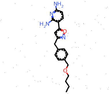 CCCCOCc1ccc(Cc2cc(-c3ccc(N)nc3N)on2)cc1